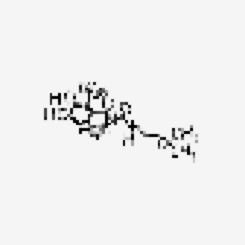 CC(C)OCCCNC(=O)N(C)C(=O)c1c(Cl)cc(O)c(O)c1[N+](=O)[O-]